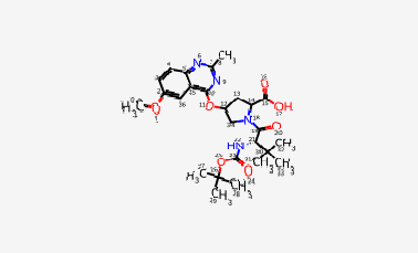 COc1ccc2nc(C)nc(OC3CC(C(=O)O)N(C(=O)[C@@H](NC(=O)OC(C)(C)C)C(C)(C)C)C3)c2c1